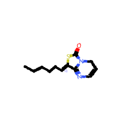 CCCCC/C=c1\sc(=O)n2c1=NC=CC2